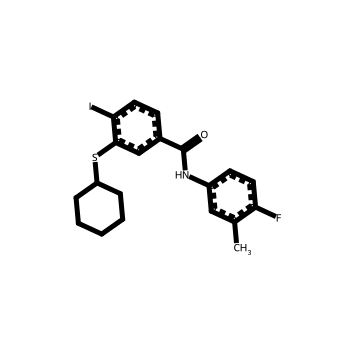 Cc1cc(NC(=O)c2ccc(I)c(SC3CCCCC3)c2)ccc1F